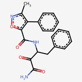 Cc1noc(C(=O)NC(Cc2ccccc2)C(=O)C(N)=O)c1-c1ccccc1